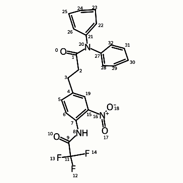 O=C(CCc1ccc(NC(=O)C(F)(F)F)c([N+](=O)[O-])c1)N(c1ccccc1)c1ccccc1